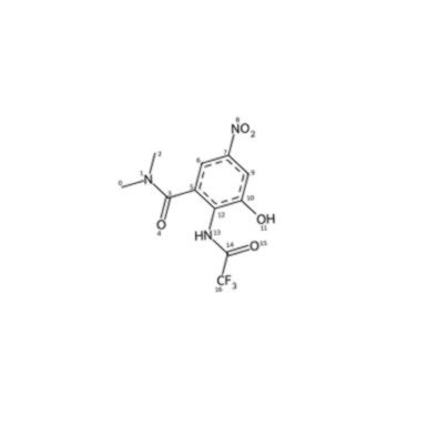 CN(C)C(=O)c1cc([N+](=O)[O-])cc(O)c1NC(=O)C(F)(F)F